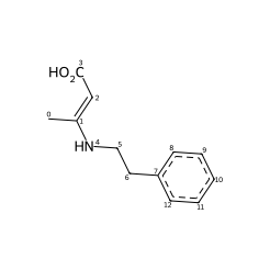 CC(=CC(=O)O)NCCc1ccccc1